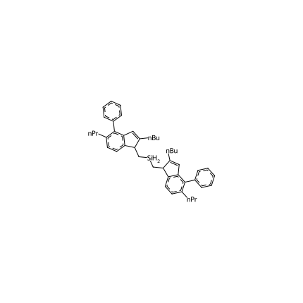 CCCCC1=Cc2c(ccc(CCC)c2-c2ccccc2)C1C[SiH2]CC1C(CCCC)=Cc2c1ccc(CCC)c2-c1ccccc1